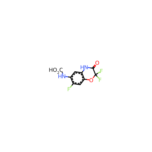 O=C(O)Nc1cc2c(cc1F)OC(F)(F)C(=O)N2